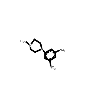 CN1CCN(c2cc([N+](=O)[O-])cc([N+](=O)[O-])c2)CC1